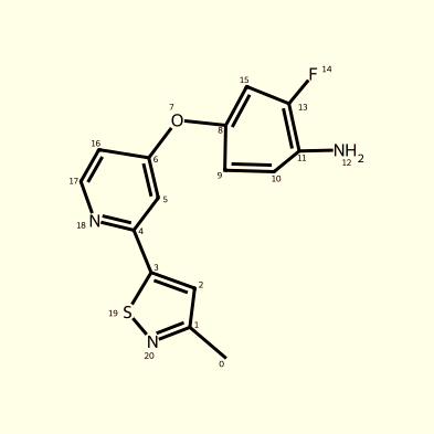 Cc1cc(-c2cc(Oc3ccc(N)c(F)c3)ccn2)sn1